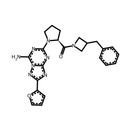 Nc1nc(N2CCC[C@H]2C(=O)N2CC(Cc3ccccc3)C2)nc2nc(-c3ccco3)nn12